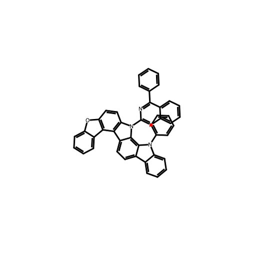 c1ccc(-c2nc(-n3c4ccc5oc6ccccc6c5c4c4ccc5c6ccccc6n(-c6ccccc6)c5c43)nc3ccccc23)cc1